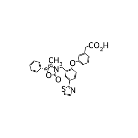 C[C@H]1[C@@H](c2ccccc2)OC(=O)N1Cc1cc(-c2nccs2)ccc1Oc1cccc(CC(=O)O)c1